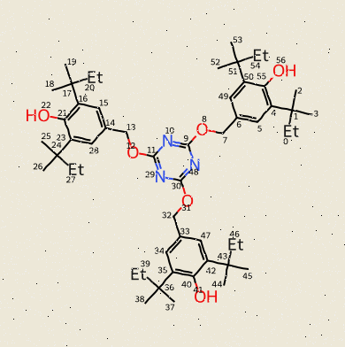 CCC(C)(C)c1cc(COc2nc(OCc3cc(C(C)(C)CC)c(O)c(C(C)(C)CC)c3)nc(OCc3cc(C(C)(C)CC)c(O)c(C(C)(C)CC)c3)n2)cc(C(C)(C)CC)c1O